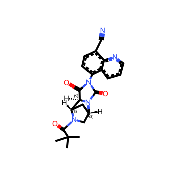 CC(C)(C)C(=O)N1C[C@@H]2C[C@H]1[C@H]1C(=O)N(c3ccc(C#N)c4ncccc34)C(=O)N21